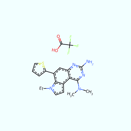 CCn1ccc2c3c(N(C)C)nc(N)nc3cc(-c3cccs3)c21.O=C(O)C(F)(F)F